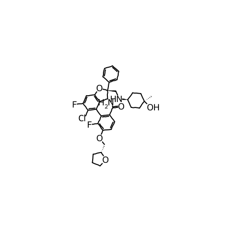 C[C@]1(O)CC[C@@H](NC[C@@]2(c3ccccc3)Cc3c(cc(F)c(Cl)c3-c3c(C(N)=O)ccc(OC[C@H]4CCCO4)c3F)O2)CC1